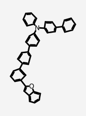 c1ccc(-c2ccc(N(c3ccccc3)c3ccc(-c4ccc(-c5cccc(-c6cc7ccccc7o6)c5)cc4)cc3)cc2)cc1